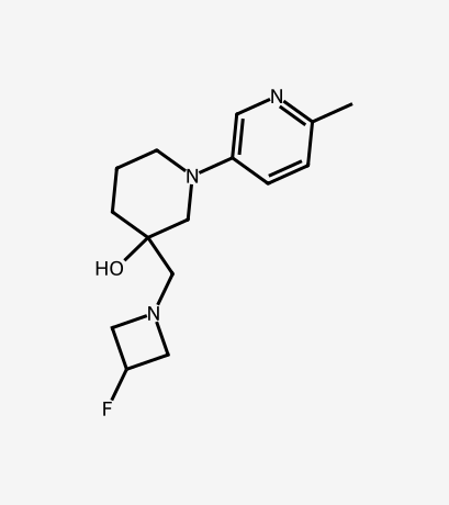 Cc1ccc(N2CCCC(O)(CN3CC(F)C3)C2)cn1